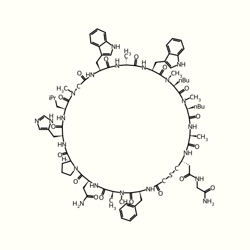 CCCC[C@H]1C(=O)N(C)[C@@H](CCCC)C(=O)N[C@@H](C)C(=O)N[C@H](CC(=O)NCC(N)=O)CSCC(=O)N[C@@H](Cc2ccccc2)C(=O)N(C)[C@@H](C)C(=O)N[C@@H](CC(N)=O)C(=O)N2CCC[C@H]2C(=O)N[C@@H](Cc2cnc[nH]2)C(=O)N[C@@H](CC(C)C)C(=O)N(C)CC(=O)N[C@@H](Cc2c[nH]c3ccccc23)C(=O)N[C@H](C)C(=O)N[C@@H](Cc2c[nH]c3ccccc23)C(=O)N1C